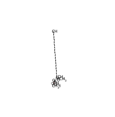 C#CC#CC#CC#CC#CC#CC#CC#CC#CC#CC#CC#CC#CC#CC#CC#CC#CC#CN(CCC(=O)OC1CC2(C)CCC1C2(C)C)C(=O)C(=C)C